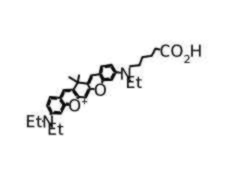 CCN(CC)c1ccc2cc3c([o+]c2c1)C=C1Oc2cc(N(CC)CCCCCC(=O)O)ccc2C=C1C3(C)C